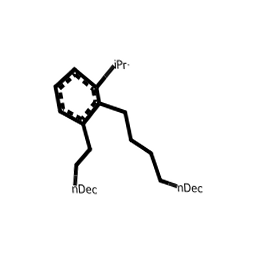 CCCCCCCCCCCCCCc1c(CCCCCCCCCCCC)cccc1[C](C)C